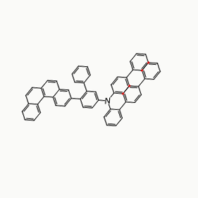 c1ccc(-c2ccc(-c3ccccc3N(c3ccc(-c4ccccc4)cc3)c3ccc(-c4ccc5c(ccc6ccc7ccccc7c65)c4)c(-c4ccccc4)c3)cc2)cc1